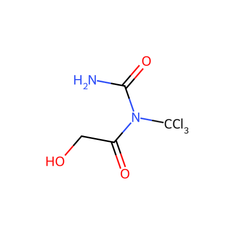 NC(=O)N(C(=O)CO)C(Cl)(Cl)Cl